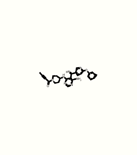 CC#CC(=O)N1CCC(Nc2ncnc(N)c2C(=N)c2ccc(Oc3ccccc3)nc2)CC1